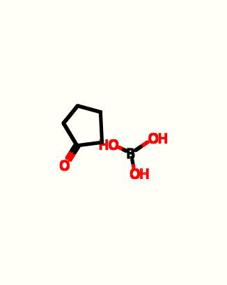 O=C1CCCC1.OB(O)O